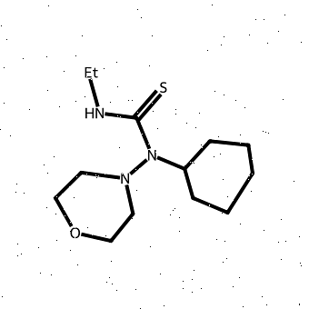 CCNC(=S)N(C1CCCCC1)N1CCOCC1